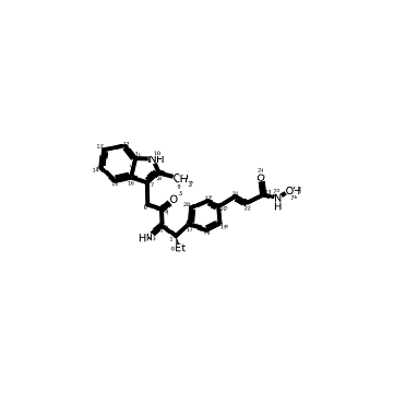 CC[C@H](C(=N)C(=O)Cc1c(C)[nH]c2ccccc12)c1ccc(/C=C/C(=O)NO)cc1